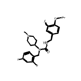 CC(C)Oc1ccc(CNC(=O)N(Cc2ccc(F)cc2F)C2CCN(C)CC2)cc1F